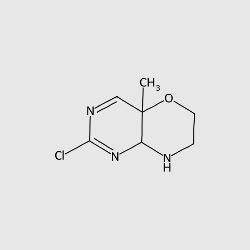 CC12C=NC(Cl)=NC1NCCO2